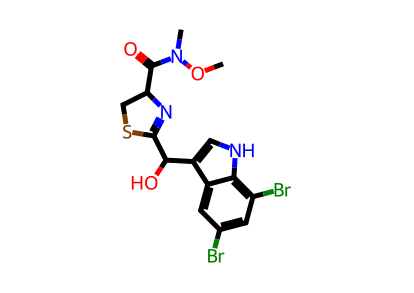 CON(C)C(=O)C1CSC(C(O)c2c[nH]c3c(Br)cc(Br)cc23)=N1